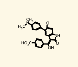 CN(C)c1ccc(-c2cc3c(cc2Cl)NC(=O)C3=C(O)c2ccc(C(=O)O)cc2)cc1